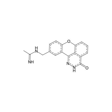 CC(=N)NCc1ccc2c(c1)-c1n[nH]c(=O)c3cccc(c13)O2